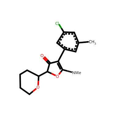 CNC1=C(c2cc(C)cc(Cl)c2)C(=O)C(C2CCCCO2)O1